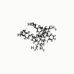 CC[C@H](C)[C@@H](C(=O)N[C@@H](Cc1ccccc1)[C@H](O)CN(CC(C)C)S(=O)(=O)c1ccc(C=NO)cc1)N1CCN(Cc2ccc3[nH]cnc3c2)C1=O